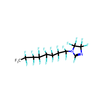 FC1=NC(F)(F)C(F)(F)N1C(F)(F)C(F)(F)C(F)(F)C(F)(F)C(F)(F)C(F)(F)C(F)(F)C(F)(F)F